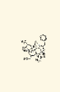 C=C1N=N[C@]2(OC(=O)Cc3ccccc3)C[C@@H](C)[C@@]3(O)[C@@H](C=C(CO)C[C@]4(O)C(=O)C(C)=C[C@@H]34)[C@H]12